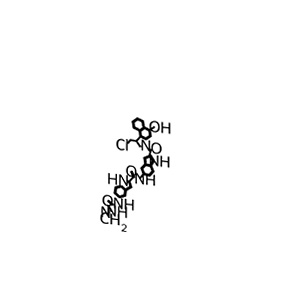 C=NNC(=O)Nc1ccc2[nH]c(C(=O)Nc3ccc4[nH]c(C(=O)N5CC(CCl)c6c5cc(O)c5ccccc65)cc4c3)cc2c1